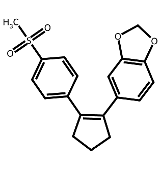 CS(=O)(=O)c1ccc(C2=C(c3ccc4c(c3)OCO4)CCC2)cc1